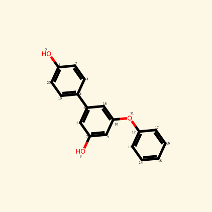 Oc1ccc(-c2cc(O)cc(Oc3ccccc3)c2)cc1